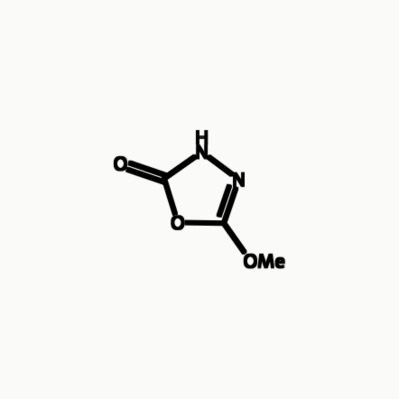 COc1n[nH]c(=O)o1